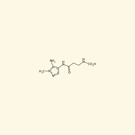 Cn1ncc(NC(=O)CCNC(=O)O)c1N